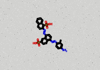 Cc1cc(N)ccc1/N=N/c1ccc(/N=N/c2ccc3ccccc3c2S(=O)(=O)O)c2cc(S(=O)(=O)O)ccc12